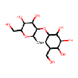 COC1OC(CO)C(O)C(O)C1OC1CC(CO)C(O)C(O)C1O